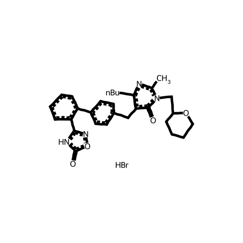 Br.CCCCc1nc(C)n(CC2CCCCO2)c(=O)c1Cc1ccc(-c2ccccc2-c2noc(=O)[nH]2)cc1